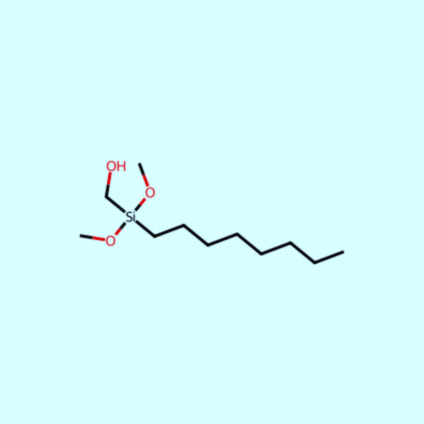 CCCCCCCC[Si](CO)(OC)OC